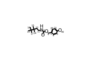 COc1ccc(COC(=O)NCCC(C)(C)C(C)(C)C)cc1